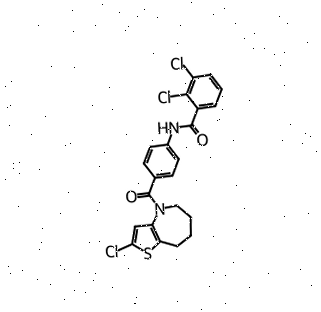 O=C(Nc1ccc(C(=O)N2CCCCc3sc(Cl)cc32)cc1)c1cccc(Cl)c1Cl